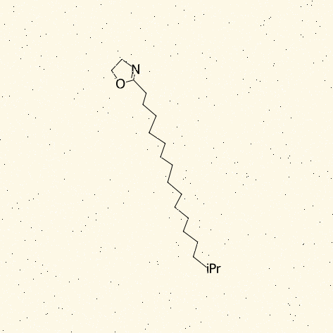 CC(C)CCCCCCCCCCCCCCC1=NCCO1